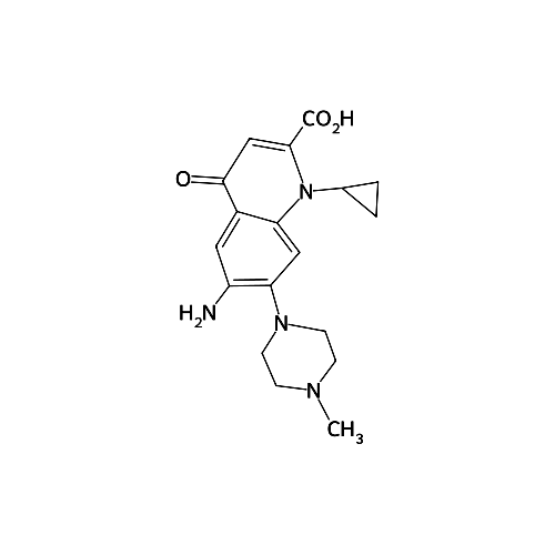 CN1CCN(c2cc3c(cc2N)c(=O)cc(C(=O)O)n3C2CC2)CC1